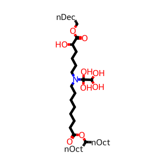 CCCCCCCCCCCOC(=O)C(O)CCCCN(CCCCCCCC(=O)OC(CCCCCCCC)CCCCCCCC)C(O)(O)C(O)O